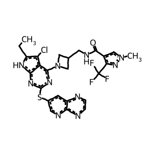 CCc1[nH]c2nc(Sc3cnc4nccnc4c3)nc(N3CC(CNC(=O)c4cn(C)nc4C(F)(F)F)C3)c2c1Cl